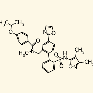 Cc1noc(NS(=O)(=O)c2ccccc2-c2ccc(-c3ncco3)cc2CN(C)C(=O)c2ccc(OC(C)C)cc2)c1C